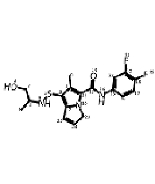 Cc1c(SNC(C)CO)c2n(c1C(=O)Nc1ccc(F)c(F)c1)CC=C2